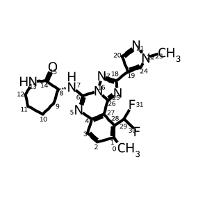 Cc1ccc2nc(N[C@@H]3CCCCNC3=O)n3nc(-c4cnn(C)c4)nc3c2c1C(F)F